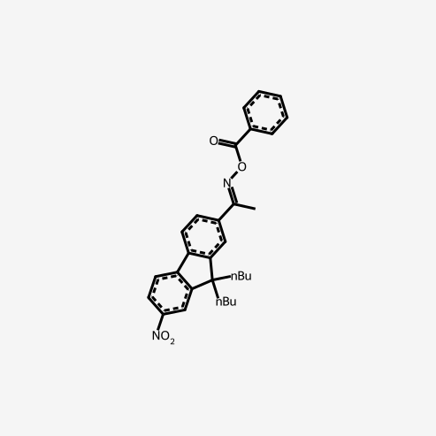 CCCCC1(CCCC)c2cc(C(C)=NOC(=O)c3ccccc3)ccc2-c2ccc([N+](=O)[O-])cc21